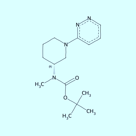 CN(C(=O)OC(C)(C)C)[C@@H]1CCCN(c2cccnn2)C1